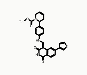 CC(C)(C)OC(=O)N1CC=CCC1c1ccc(N/C=C2\C(=O)NC(=O)c3ccc(-c4ccsc4)cc32)cc1